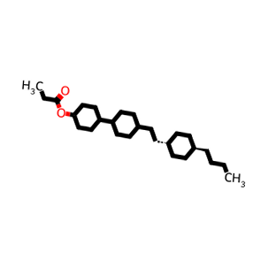 CCCC[C@H]1CC[C@H](CCC2CCC(C3CCC(OC(=O)CC)CC3)CC2)CC1